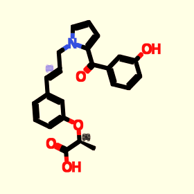 C[C@H](Oc1cccc(/C=C/Cn2cccc2C(=O)c2cccc(O)c2)c1)C(=O)O